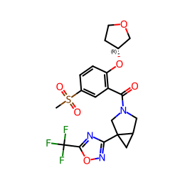 CS(=O)(=O)c1ccc(O[C@@H]2CCOC2)c(C(=O)N2CC3CC3(c3noc(C(F)(F)F)n3)C2)c1